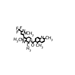 Cc1ccc2c(C)c(C(=O)N3CCc4c(nn(C)c4-c4cc(C(F)(F)F)nn4C)[C@@H]3C)ccc2n1